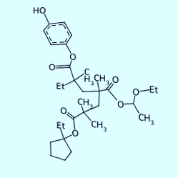 CCOC(C)OC(=O)C(C)(CC(C)(C)C(=O)OC1(CC)CCCC1)CC(C)(CC)C(=O)Oc1ccc(O)cc1